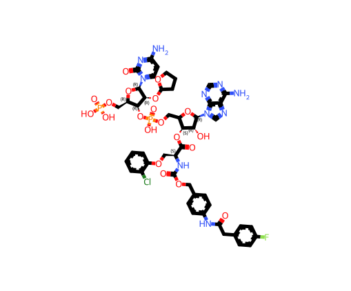 Nc1ccn([C@@H]2O[C@H](COP(=O)(O)O)[C@@H](OP(=O)(O)OCC3O[C@@H](n4cnc5c(N)ncnc54)[C@H](O)[C@@H]3OC(=O)[C@H](COc3ccccc3Cl)NC(=O)OCc3ccc(NC(=O)Cc4ccc(F)cc4)cc3)[C@H]2OC2CCCO2)c(=O)n1